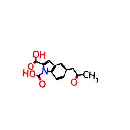 CC(=O)Cc1ccc2c(c1)cc(C(=O)O)n2C(=O)O